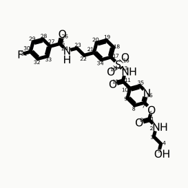 O=C(NCCO)Oc1ccc(C(=O)NS(=O)(=O)c2cccc(CCNC(=O)c3ccc(F)cc3)c2)cn1